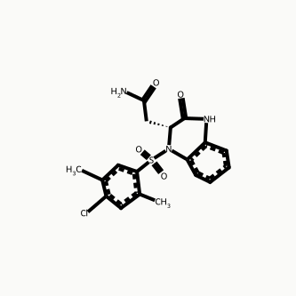 Cc1cc(S(=O)(=O)N2c3ccccc3NC(=O)[C@H]2CC(N)=O)c(C)cc1Cl